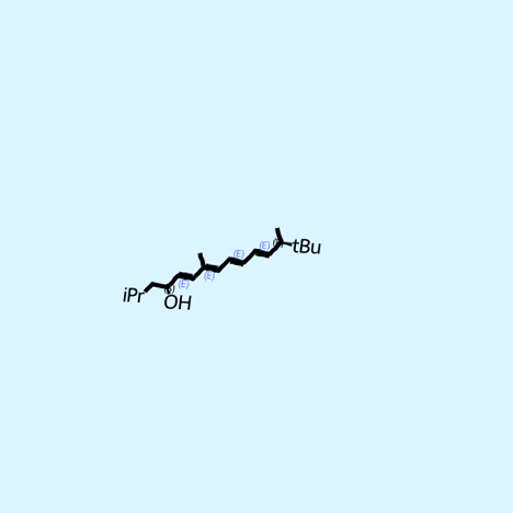 CC(/C=C/[C@@H](O)CC(C)C)=C\C=C\C=C\[C@@H](C)C(C)(C)C